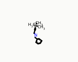 C[Si](C)(C)C#CC=NCc1ccccc1